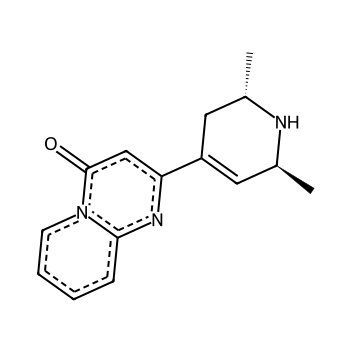 C[C@H]1C=C(c2cc(=O)n3ccccc3n2)C[C@H](C)N1